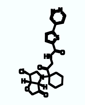 O=C(NCC(=O)C1(N2C[C@H](Cl)[C@H]3OCC(=O)[C@H]32)CCCCC1)c1ccc(-c2ccnnc2)s1